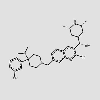 CCC[C@H](c1cc2ccc(CN3CCC(c4cccc(O)c4)(N(C)C)CC3)cc2nc1CC)N1C[C@@H](C)N[C@@H](C)C1